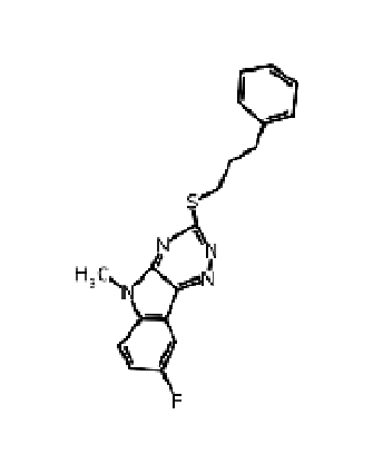 Cn1c2ccc(F)cc2c2nnc(SCCCc3ccccc3)nc21